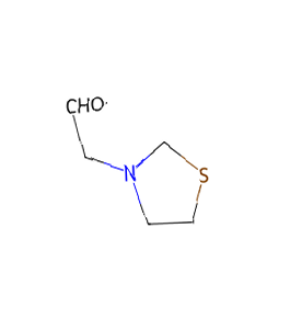 O=[C]CN1CCSC1